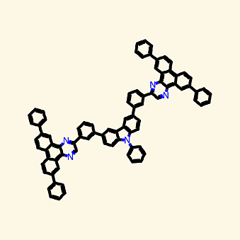 c1ccc(-c2ccc3c4ccc(-c5ccccc5)cc4c4nc(-c5cccc(-c6ccc7c(c6)c6cc(-c8cccc(-c9cnc%10c%11cc(-c%12ccccc%12)ccc%11c%11ccc(-c%12ccccc%12)cc%11c%10n9)c8)ccc6n7-c6ccccc6)c5)cnc4c3c2)cc1